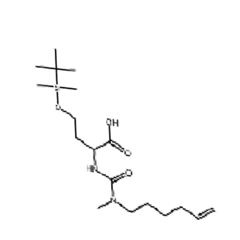 C=CCCCCN(C)C(=O)NC(CCO[Si](C)(C)C(C)(C)C)C(=O)O